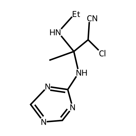 CCNC(C)(Nc1ncncn1)C(Cl)C#N